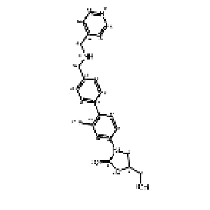 O=C1OC(CO)CN1c1ccc(-c2ccc(CNCc3ccncc3)cc2)c(F)c1